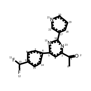 CC(=O)c1cc(-c2ccc(C(F)F)cc2)nc(-c2cccnc2)n1